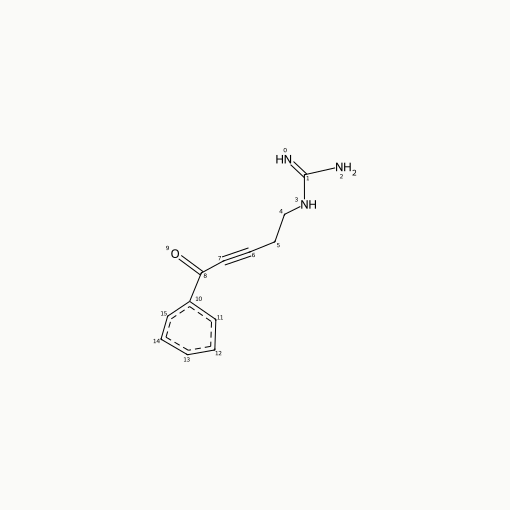 N=C(N)NCCC#CC(=O)c1ccccc1